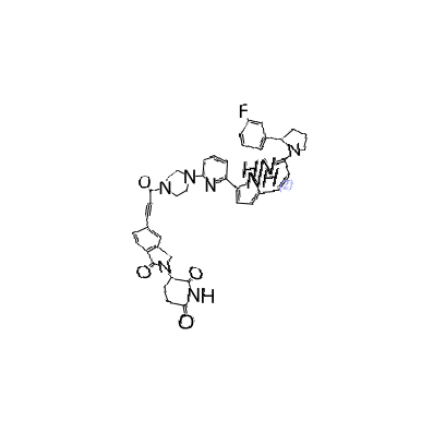 N=C(/C=C\c1ccc(-c2cccc(N3CCN(C(=O)C#Cc4ccc5c(c4)CN(C4CCC(=O)NC4=O)C5=O)CC3)n2)[nH]1)N1CCCC1c1cccc(F)c1